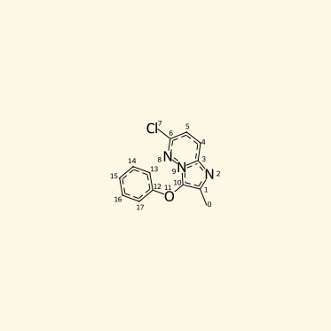 Cc1nc2ccc(Cl)nn2c1Oc1ccccc1